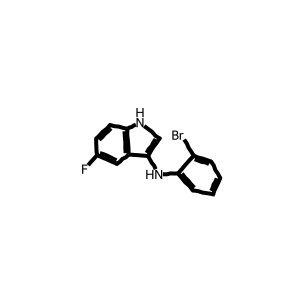 Fc1ccc2[nH]cc(Nc3ccccc3Br)c2c1